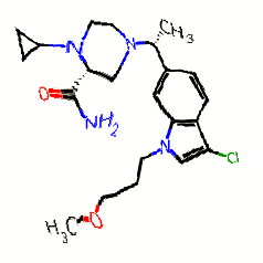 COCCCn1cc(Cl)c2ccc([C@@H](C)N3CCN(C4CC4)[C@@H](C(N)=O)C3)cc21